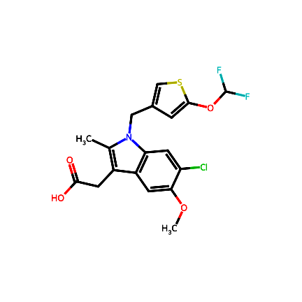 COc1cc2c(CC(=O)O)c(C)n(Cc3csc(OC(F)F)c3)c2cc1Cl